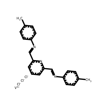 Cc1ccc(N=Cc2cccc(C=Nc3ccc(C)cc3)n2)cc1.[Cl-].[Cl-].[Cl-].[V+3]